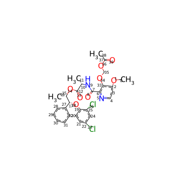 COc1ccnc(C(=O)N[C@@H](C)C(=O)O[C@@H](C)[C@H](Oc2ccc(Cl)cc2Cl)c2ccccc2)c1OCOC(C)=O